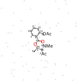 CN[C@H](C(C)=O)[C@@H](C)OC(=O)c1ccccc1OC(C)=O